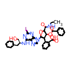 CCNC(=O)C1OC(n2cnc3c(N[C@H](CO)Cc4ccccc4)nc(I)nc32)C(c2ccccc2C(=O)O)C1OC(=O)c1ccccc1